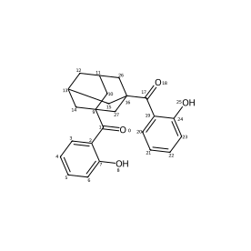 O=C(c1ccccc1O)C12CC3CC(C1)CC(C(=O)c1ccccc1O)(C3)C2